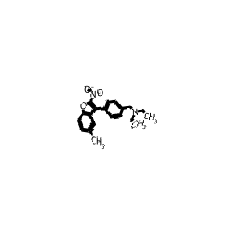 CCN(CC)Cc1ccc(-c2c([N+](=O)[O-])oc3ccc(C)cc23)cc1